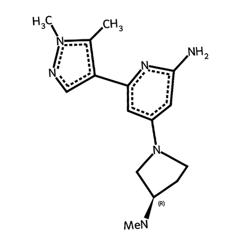 CN[C@@H]1CCN(c2cc(N)nc(-c3cnn(C)c3C)c2)C1